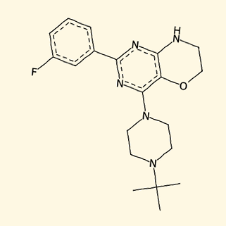 CC(C)(C)N1CCN(c2nc(-c3cccc(F)c3)nc3c2OCCN3)CC1